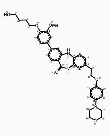 COc1cc(-c2ccc3c(c2)Nc2ccc(CCOc4ccc(N5CCOCC5)cc4)cc2NC3=O)ccc1OCCCCO